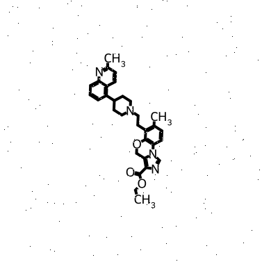 CCOC(=O)c1ncn2c1COc1c-2ccc(C)c1CCN1CCC(c2cccc3nc(C)ccc23)CC1